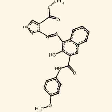 COC(=O)c1c[nH]nc1/N=N/c1c(O)c(C(=O)Nc2ccc(OC)cc2)cc2ccccc12